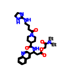 CCN(CC)C(=O)COC(=O)CC(NC(=O)C1CCN(C(=O)CCCNC2=NCCN2)CC1)c1cnc2ccccc2c1